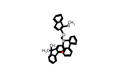 C=Nc1c(OCN(c2ccc3c(c2)C(C)(C)c2ccccc2-3)c2ccccc2-c2ccccc2)ccc2ccccc12